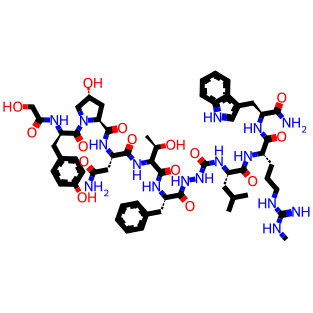 CNC(=N)NCCC[C@H](NC(=O)[C@H](CC(C)C)NC(=O)NNC(=O)[C@H](Cc1ccccc1)NC(=O)C(NC(=O)[C@H](CC(N)=O)NC(=O)[C@@H]1C[C@@H](O)CN1C(=O)[C@@H](Cc1ccc(O)cc1)NC(=O)CO)[C@@H](C)O)C(=O)N[C@@H](Cc1c[nH]c2ccccc12)C(N)=O